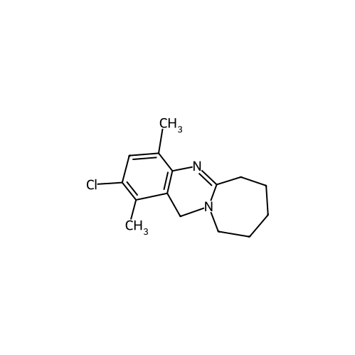 Cc1cc(Cl)c(C)c2c1N=C1CCCCCN1C2